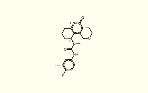 CN(C(=O)Nc1ccc(F)c(F)c1)[C@H]1CCCc2[nH]c(=O)c3c(c21)COCC3